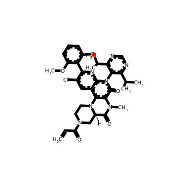 C=CC(=O)N1CCN2c3c(c(=O)n(-c4c(C(C)C)ncnc4C(C)C)c4nc(-c5c(F)cccc5OC)c(Cl)cc34)N(C)C(=O)[C@H]2C1